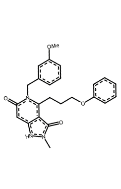 COc1cccc(Cn2c(CCCOc3ccccc3)c3c(=O)n(C)[nH]c3cc2=O)c1